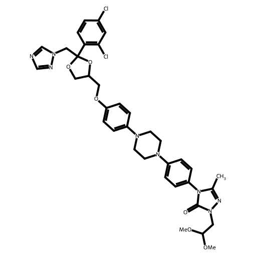 COC(Cn1nc(C)n(-c2ccc(N3CCN(c4ccc(OCC5COC(Cn6cncn6)(c6ccc(Cl)cc6Cl)O5)cc4)CC3)cc2)c1=O)OC